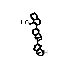 OCc1c(-c2ccc3c(c2)C2CSC3C(c3ccc4c(c3)C3CCC4CN3)C2)ccc2ccccc12